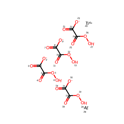 O=C([O-])C(=O)OO.O=C([O-])C(=O)OO.O=C([O-])C(=O)OO.O=C([O-])C(=O)OO.[Al].[Ti+4]